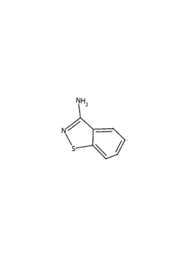 Nc1nsc2cc[c]cc12